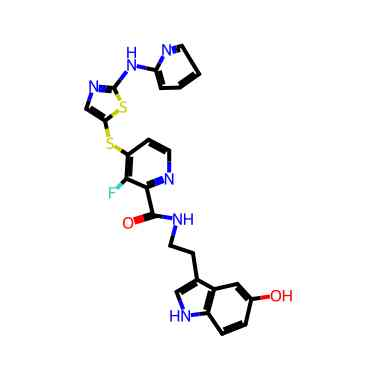 O=C(NCCc1c[nH]c2ccc(O)cc12)c1nccc(Sc2cnc(Nc3ccccn3)s2)c1F